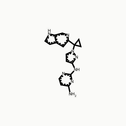 Nc1ccnc(Nc2ccn(C3(c4cc5cc[nH]c5cn4)CC3)n2)n1